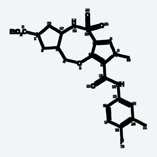 CCOC(=O)N1CC2COc3c(cn(C)c3C(=O)Nc3ccc(F)c(C)c3)S(=O)(=O)NC2C1